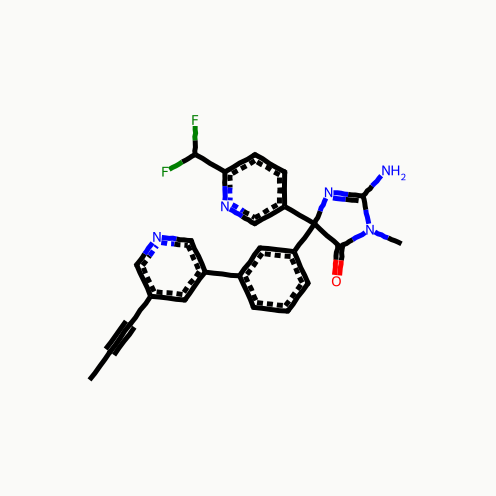 CC#Cc1cncc(-c2cccc(C3(c4ccc(C(F)F)nc4)N=C(N)N(C)C3=O)c2)c1